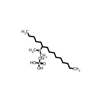 CCCCCCCCCC(CCCCC)N(C)C.O=P(O)(O)O